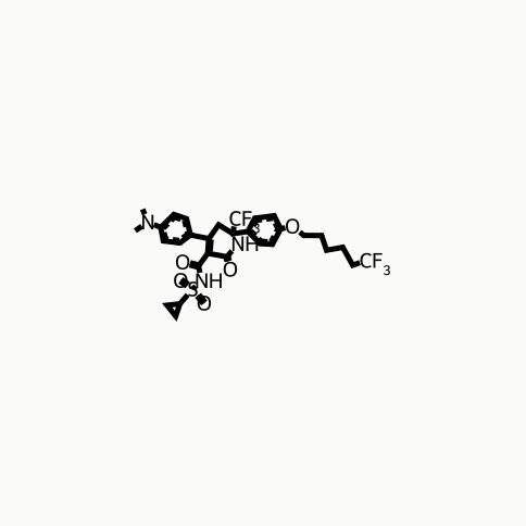 CN(C)c1ccc(C2=C(C(=O)NS(=O)(=O)C3CC3)C(=O)NC(c3ccc(OCCCCCC(F)(F)F)cc3)(C(F)(F)F)C2)cc1